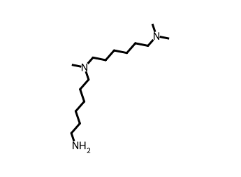 CN(C)CCCCCCN(C)CCCCCCN